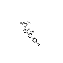 C[C@H](N)CO[C@@H]1CCN([C@@H]2CCN(c3ncc(C4CC4)cn3)C[C@H]2O)C1=O